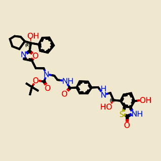 CC(C)(C)OC(=O)N(CCNC(=O)c1ccc(CNC[C@H](O)c2ccc(O)c3[nH]c(=O)sc23)cc1)CCc1cnc([C@](O)(c2ccccc2)C2CCCCC2)o1